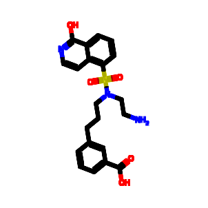 NCCN(CCCc1cccc(C(=O)O)c1)S(=O)(=O)c1cccc2c(O)nccc12